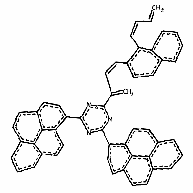 C=C/C=C\c1c(/C=C\C(=C)c2nc(-c3ccc4ccc5cccc6ccc3c4c56)nc(-c3ccc4ccc5cccc6ccc3c4c56)n2)ccc2ccccc12